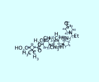 CCC(CNC12CCC[C@@H]1C1CCC3C(C)(CCC4C(C)(C)C(OC(=O)C5CC(C(=O)O)C5(C)C)CCC43C)C1CC2)N1CC[S+]([O-])CC1